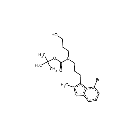 Cn1nc2cccc(Br)c2c1CCCN(CCCO)C(=O)OC(C)(C)C